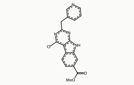 COC(=O)c1ccc2c(c1)[nH]c1nc(Cc3cccnc3)nc(Cl)c12